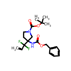 C=CC(F)(F)C1(NC(=O)OCc2ccccc2)CCN(C(=O)OC(C)(C)C)C1